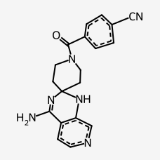 N#Cc1ccc(C(=O)N2CCC3(CC2)N=C(N)c2ccncc2N3)cc1